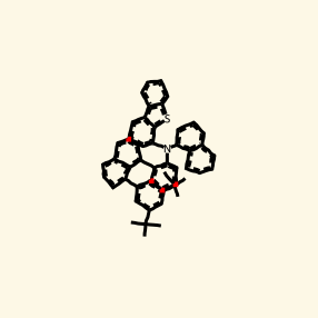 CC(C)(C)c1cc(-c2cccc3cccc(-c4ccccc4N(c4cccc5ccccc45)c4cccc5c4sc4ccccc45)c23)cc(C(C)(C)C)c1